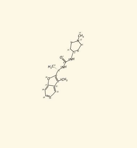 Cc1c([C@H](C)NC(=O)NC2CCN(C)CC2)oc2ccccc12